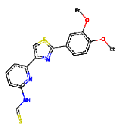 CCOc1ccc(-c2nc(-c3cccc(NC=S)n3)cs2)cc1OCC